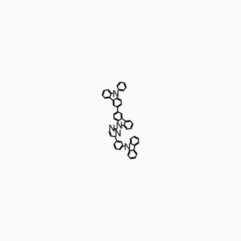 c1ccc(-n2c3ccccc3c3cc(-c4ccc5c(c4)c4ccccc4n5-c4nccc(-c5cccc(-n6c7ccccc7c7ccccc76)c5)n4)ccc32)cc1